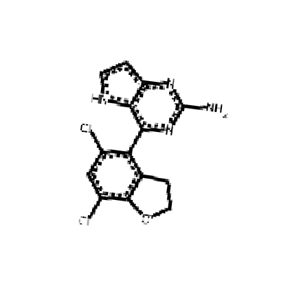 Nc1nc(-c2c(Cl)cc(Cl)c3c2CCO3)c2[nH]ccc2n1